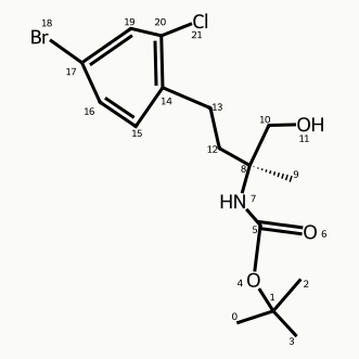 CC(C)(C)OC(=O)N[C@](C)(CO)CCc1ccc(Br)cc1Cl